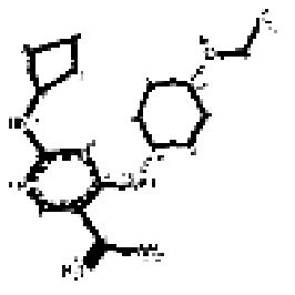 C=C(N)c1cnc(NC2CCC2)nc1N[C@H]1CC[C@@H](OCC)CC1